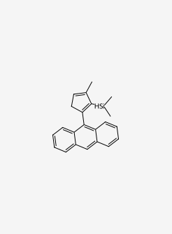 CC1=CCC(c2c3ccccc3cc3ccccc23)=C1[SiH](C)C